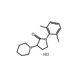 Cc1cccc(C)c1N1CCC(N2CCCCC2)C1=O.Cl